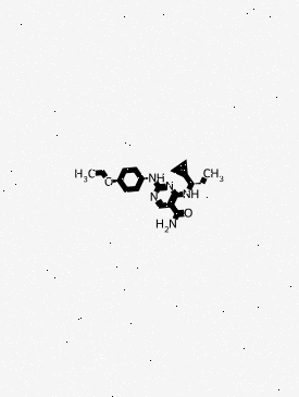 CCO[C@H]1CC[C@H](Nc2ncc(C(N)=O)c(N[C@@H](CC)C3CC3)n2)CC1